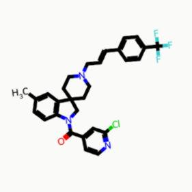 Cc1ccc2c(c1)C1(CCN(C/C=C/c3ccc(C(F)(F)F)cc3)CC1)CN2C(=O)c1ccnc(Cl)c1